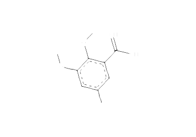 C=C(C)c1cc(I)cc(OC)c1OC